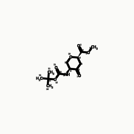 COC(=O)[C@@H]1CC(=O)[C@@H](NC(=O)OC(C)(C)C)CO1